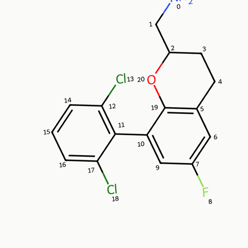 NCC1CCc2cc(F)cc(-c3c(Cl)cccc3Cl)c2O1